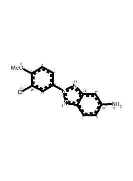 COc1ccc(-n2nc3ccc(N)cc3n2)cc1Cl